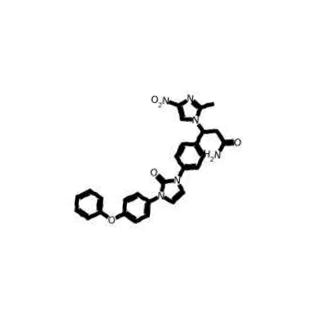 Cc1nc([N+](=O)[O-])cn1C(CC(N)=O)c1ccc(-n2ccn(-c3ccc(Oc4ccccc4)cc3)c2=O)cc1